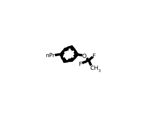 CCCc1ccc(OC(C)(F)F)cc1